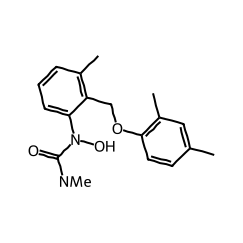 CNC(=O)N(O)c1cccc(C)c1COc1ccc(C)cc1C